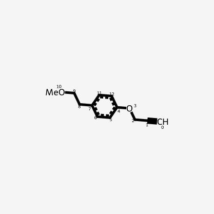 C#CCOc1ccc(CCOC)cc1